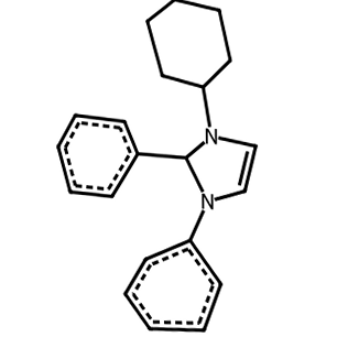 C1=CN(C2CCCCC2)C(c2ccccc2)N1c1ccccc1